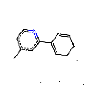 Cc1ccnc(C2=CCCC=C2)c1